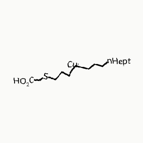 CCCCCCCCCCCCCCSCC(=O)O.[Cu]